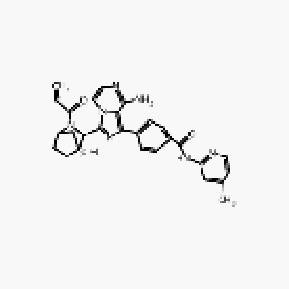 C=CC(=O)N1C2CC[C@@H](C2)C1c1nc(-c2ccc(C(=O)Nc3cc(C)ccn3)cc2)c2c(N)nccn12